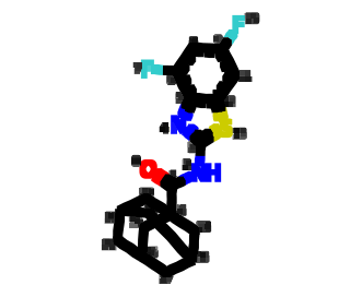 O=C(Nc1nc2c(F)cc(F)cc2s1)C12CC3CC(CC(C3)C1)C2